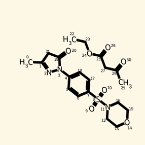 CC1=NN(c2ccc(S(=O)(=O)N3CCOCC3)cc2)C(=O)C1.CCOC(=O)CC(C)=O